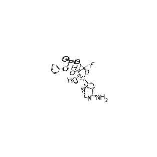 Nc1ncnn2c([C@@H]3O[C@]4(CF)C(O[PH](=O)Oc5ccccc5)[C@]4(O)[C@H]3O)ccc12